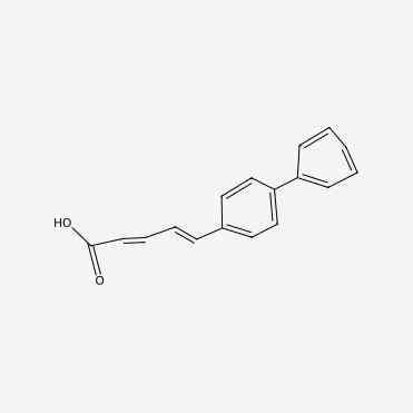 O=C(O)/C=C/C=C/c1ccc(-c2ccccc2)cc1